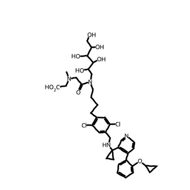 CN(CC(=O)O)CC(=O)N(CCCCc1cc(Cl)c(CNC2(c3cnccc3-c3ccccc3OC3CC3)CC2)cc1Cl)CC(O)C(O)C(O)C(O)CO